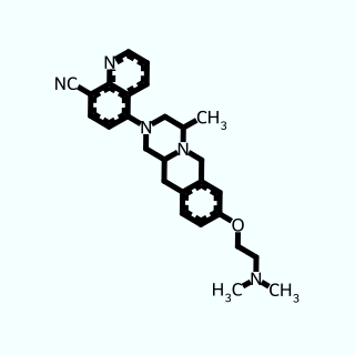 CC1CN(c2ccc(C#N)c3ncccc23)CC2Cc3ccc(OCCN(C)C)cc3CN12